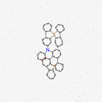 c1ccc(-c2cccc(N(c3ccccc3)c3ccc4c(c3)S3(c5ccccc5-c5ccccc53)c3ccccc3-4)c2-c2cccc3c2sc2ccccc23)cc1